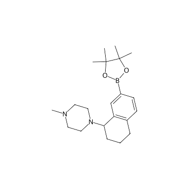 CN1CCN(C2CCCc3ccc(B4OC(C)(C)C(C)(C)O4)cc32)CC1